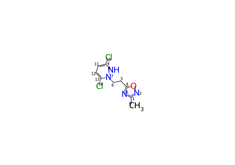 Cc1noc(CCN2NC(Cl)=CC=C2Cl)n1